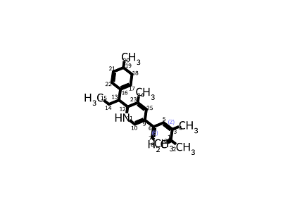 C=C(C)/C(C)=C\C(=C/C)C1=CNC(C(CC)C2=CCC(C)C=C2)C(C)=C1